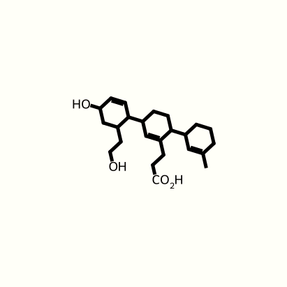 CC1=CC(C2CCC(C3C=CC(O)CC3CCO)C=C2CCC(=O)O)CCC1